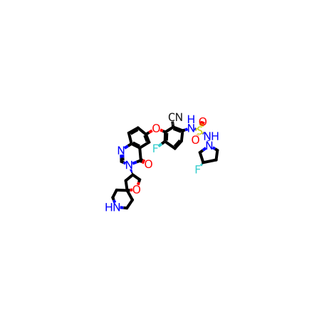 N#Cc1c(NS(=O)(=O)NN2CC[C@@H](F)C2)ccc(F)c1Oc1ccc2ncn([C@H]3COC4(CCNCC4)C3)c(=O)c2c1